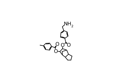 Cc1ccc(C(=O)OC2C3CC(C4CCCC43)C2OC(=O)c2ccc(CN)cc2)cc1